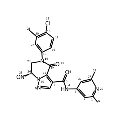 Cc1cc(NC(=O)c2cnn3c2C(=O)N(c2ccc(Cl)c(C)c2)C[C@@H]3N=O)cc(C)n1